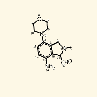 CN1Cc2c(N3CCOCC3)ccc(N)c2C1C=O